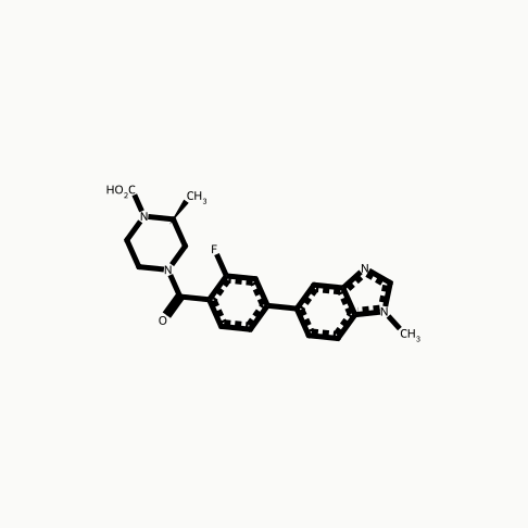 C[C@H]1CN(C(=O)c2ccc(-c3ccc4c(c3)ncn4C)cc2F)CCN1C(=O)O